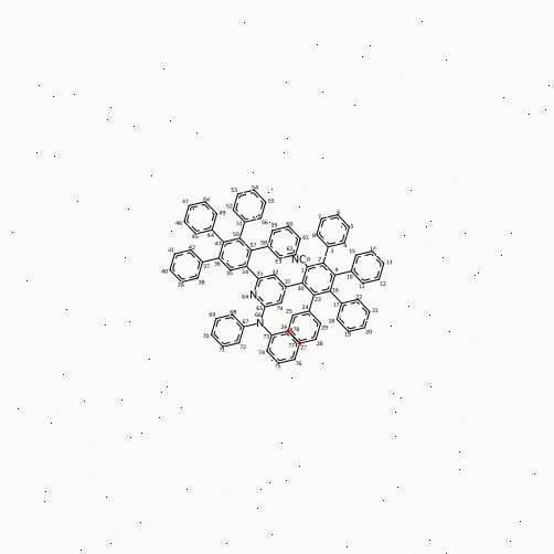 N#Cc1c(-c2ccccc2)c(-c2ccccc2)c(-c2ccccc2)c(-c2ccccc2)c1-c1cc(-c2cc(-c3ccccc3)c(-c3ccccc3)c(-c3ccccc3)c2-c2ccccc2)nc(N(c2ccccc2)c2ccccc2)c1